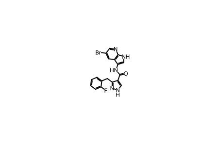 O=C(Nc1c[nH]c2ncc(Br)cc12)c1c[nH]nc1Cc1ccccc1F